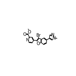 COC(=O)c1cc(-c2oc3ccc(-c4cnn(C)c4)cc3c2Br)ccn1